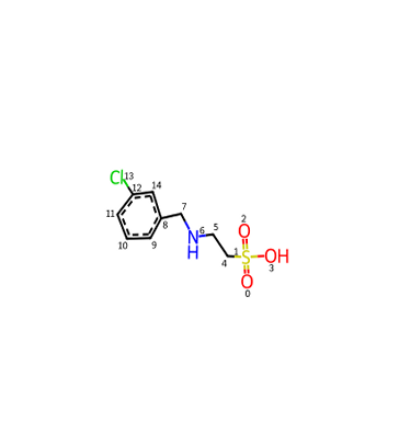 O=S(=O)(O)CCNCc1cccc(Cl)c1